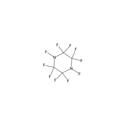 FN1C(F)(F)C(F)(F)N(F)C(F)(F)C1(F)F